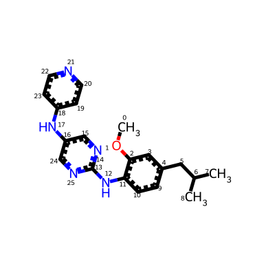 COc1cc(CC(C)C)ccc1Nc1ncc(Nc2ccncc2)cn1